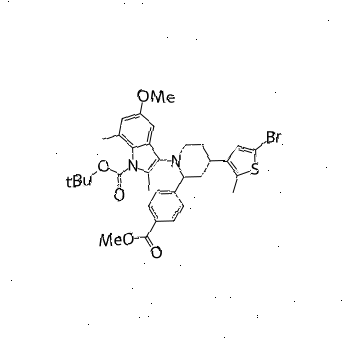 COC(=O)c1ccc(C2CC(c3cc(Br)sc3C)CCN2c2c(C)n(C(=O)OC(C)(C)C)c3c(C)cc(OC)cc23)cc1